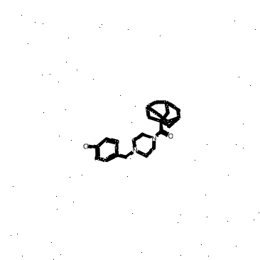 O=C(N1CCN(Cc2ccc(Cl)cc2)CC1)C12CC3CC(CC(C3)C1)C2